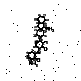 CC1C(=O)C(Sc2ccnc(N)c2Cl)=CN=C1N1CCC2(CC1)Cc1ccccc1C2N